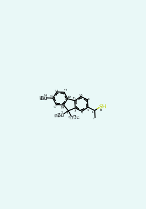 CCCCC1(CCCC)c2cc(C(C)S)ccc2-c2ccc(C(C)CC)cc21